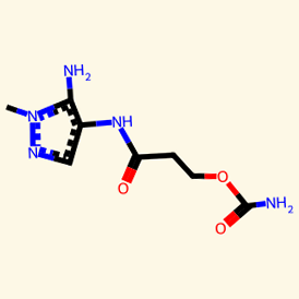 Cn1ncc(NC(=O)CCOC(N)=O)c1N